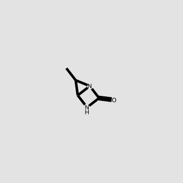 CC1C2NC(=O)N12